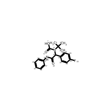 CC(C)(C)N(C(=O)O)C(C(=O)Nc1ccccc1)c1ccc(F)cc1